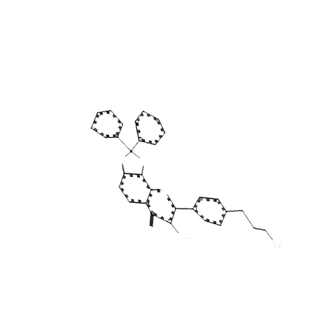 O=c1c(O)c(-c2ccc(CCCBr)cc2)oc2c3c(ccc12)OC(c1ccccc1)(c1ccccc1)O3